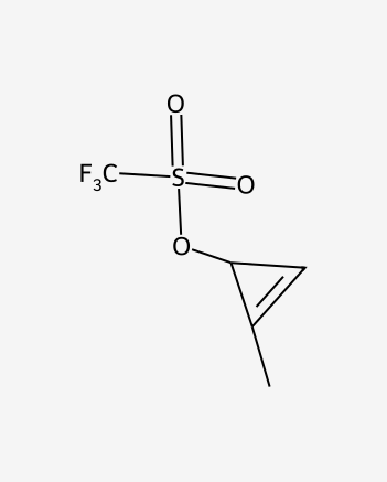 CC1=CC1OS(=O)(=O)C(F)(F)F